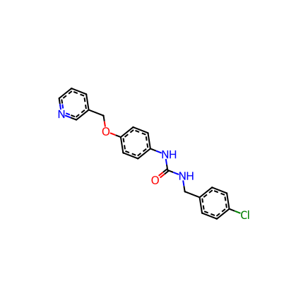 O=C(NCc1ccc(Cl)cc1)Nc1ccc(OCc2cccnc2)cc1